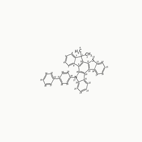 CC1(C)c2ccccc2-c2c1c1sc3ccccc3c1c1c3ccccc3n(-c3ccc(-c4ccccc4)cc3)c21